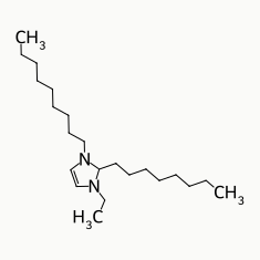 CCCCCCCCCN1C=CN(CC)C1CCCCCCCC